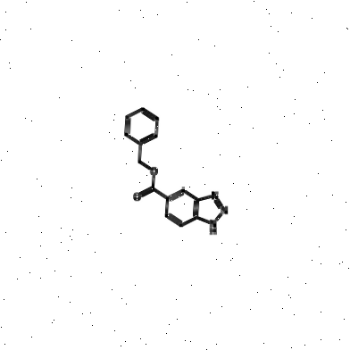 O=C(OCc1ccccc1)c1[c]c2nn[nH]c2cc1